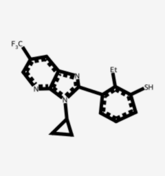 CCc1c(S)cccc1-c1nc2cc(C(F)(F)F)cnc2n1C1CC1